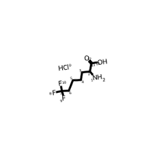 Cl.NC(CCCCC(F)(F)F)C(=O)O